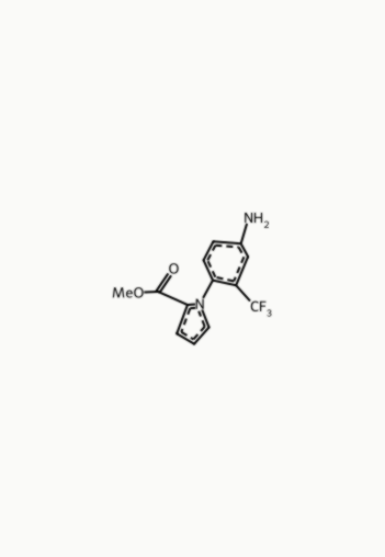 COC(=O)c1cccn1-c1ccc(N)cc1C(F)(F)F